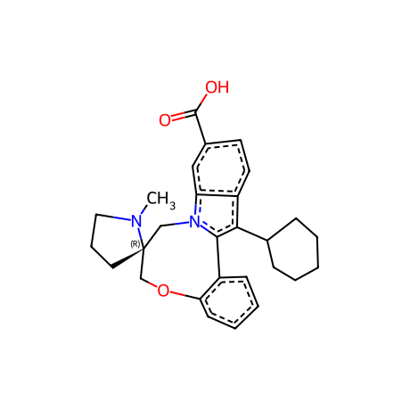 CN1CCC[C@@]12COc1ccccc1-c1c(C3CCCCC3)c3ccc(C(=O)O)cc3n1C2